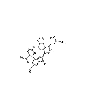 COc1cc(N(C)CCN(C)C)c([N+](=O)[O-])cc1Nc1ncc(C(=O)O)c(-c2cc(C#N)cc3c2ccn3C)n1